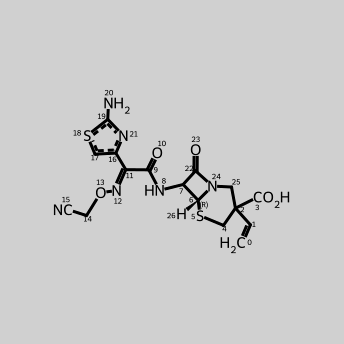 C=CC1(C(=O)O)CS[C@@H]2C(NC(=O)C(=NOCC#N)c3csc(N)n3)C(=O)N2C1